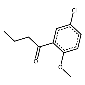 CCCC(=O)c1cc(Cl)ccc1OC